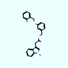 Cn1cc(CC(=O)NCc2cccc(OCc3ccccc3F)c2)c2ccccc21